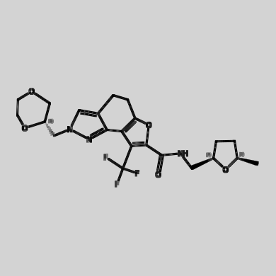 C[C@@H]1CC[C@H](CNC(=O)c2oc3c(c2C(F)(F)F)-c2nn(C[C@H]4COCCO4)cc2CC3)O1